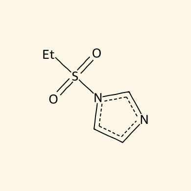 CCS(=O)(=O)n1ccnc1